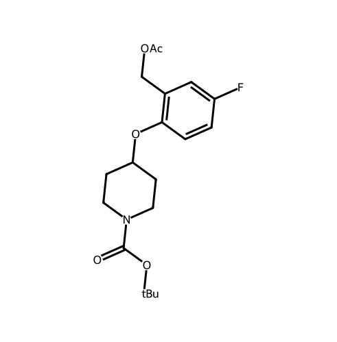 CC(=O)OCc1cc(F)ccc1OC1CCN(C(=O)OC(C)(C)C)CC1